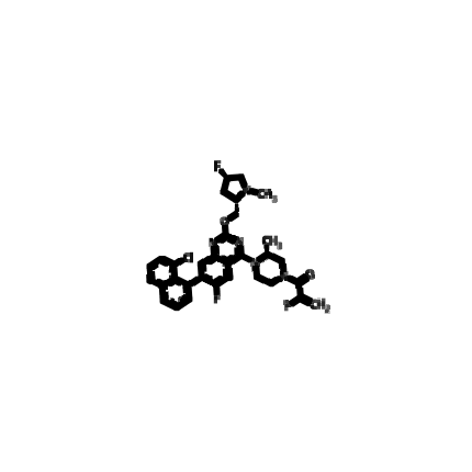 C=C(F)C(=O)N1CCN(c2nc(OC[C@@H]3C[C@@H](F)CN3C)nc3cc(-c4cccc5cccc(Cl)c45)c(F)cc23)[C@@H](C)C1